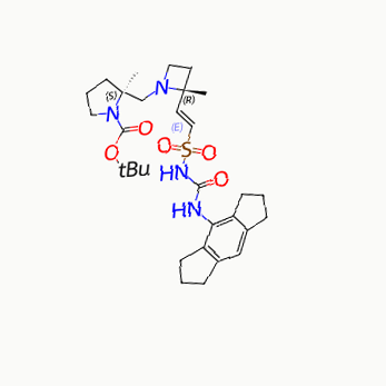 CC(C)(C)OC(=O)N1CCC[C@@]1(C)CN1CC[C@]1(C)/C=C/S(=O)(=O)NC(=O)Nc1c2c(cc3c1CCC3)CCC2